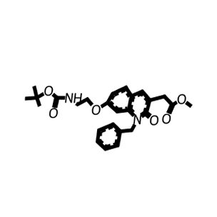 COC(=O)Cc1cc2ccc(OCCNC(=O)OC(C)(C)C)cc2n(Cc2ccccc2)c1=O